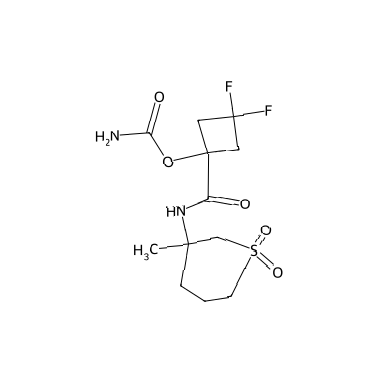 CC1(NC(=O)C2(OC(N)=O)CC(F)(F)C2)CCCS(=O)(=O)C1